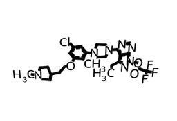 CCc1nn(OC(=O)C(F)(F)F)c2ncnc(N3CCN(c4cc(Cl)cc(OCCC5CCN(C)CC5)c4C)CC3)c12